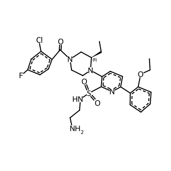 CCOc1ccccc1-c1ccc(N2CCN(C(=O)c3ccc(F)cc3Cl)C[C@H]2CC)c(S(=O)(=O)NCCN)n1